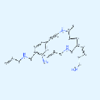 C=CCNCc1ccc(C#CNC(C)C=CC(/C=C\CCN)CNCC=C)cc1N